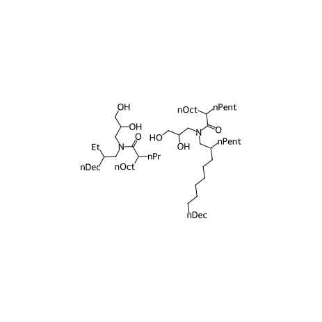 CCCCCCCCCCC(CC)CN(CC(O)CO)C(=O)C(CCC)CCCCCCCC.CCCCCCCCCCCCCCCCC(CCCCC)CN(CC(O)CO)C(=O)C(CCCCC)CCCCCCCC